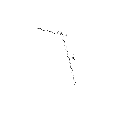 CCCCCCCCCC(CCCCCCCC(I)[C@@H]1C[C@@H]1CCCCCCC)N(C)C